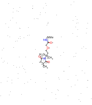 CNNC(=O)COCCC(C)(C)N1C(=O)CC(C)C1=O